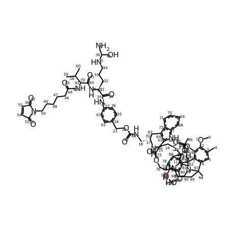 COc1c(C)cc2c(c1O)[C@H]1[C@@H]3[C@@H]4SC[C@]5(N[C@H](CNC(=O)OCc6ccc(NC(=O)[C@H](CCCNC(N)O)NC(=O)[C@@H](NC(=O)CCCCCN7C(=O)C=CC7=O)C(C)C)cc6)Cc6c5[nH]c5ccccc65)C(=O)OC[C@@H](c5c6c(c(C)c(OC(C)=O)c54)OCO6)N3[C@]3(O)CN1C2(C)C3